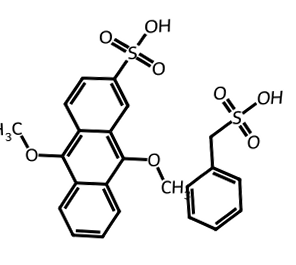 COc1c2ccccc2c(OC)c2cc(S(=O)(=O)O)ccc12.O=S(=O)(O)Cc1ccccc1